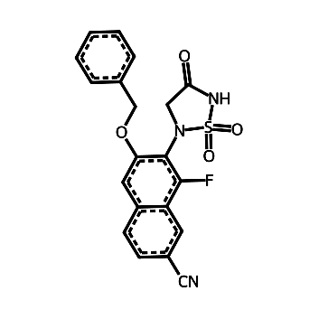 N#Cc1ccc2cc(OCc3ccccc3)c(N3CC(=O)NS3(=O)=O)c(F)c2c1